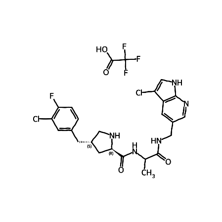 CC(NC(=O)[C@H]1C[C@H](Cc2ccc(F)c(Cl)c2)CN1)C(=O)NCc1cnc2[nH]cc(Cl)c2c1.O=C(O)C(F)(F)F